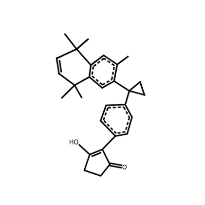 Cc1cc2c(cc1C1(c3ccc(C4=C(O)CCC4=O)cc3)CC1)C(C)(C)C=CC2(C)C